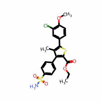 CCOC(=O)c1sc(-c2ccc(OC)c(Cl)c2)c(C)c1-c1ccc(S(N)(=O)=O)cc1